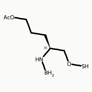 BN[C@@H](CCCOC(C)=O)COS